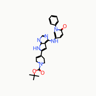 CC(C)(C)OC(=O)N1CC=C(c2cc3c(Nc4ccc(=O)n(-c5ccccc5)c4)ncnc3[nH]2)CC1